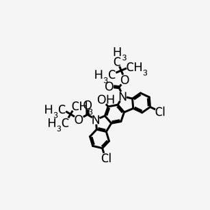 CC(C)(C)OC(=O)n1c2ccc(Cl)cc2c2cc3c4cc(Cl)ccc4n(C(=O)OC(C)(C)C)c3c(O)c21